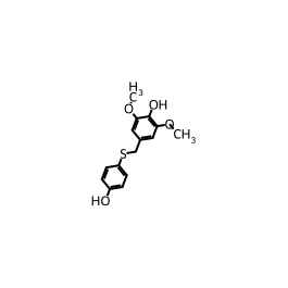 COc1cc(CSc2ccc(O)cc2)cc(OC)c1O